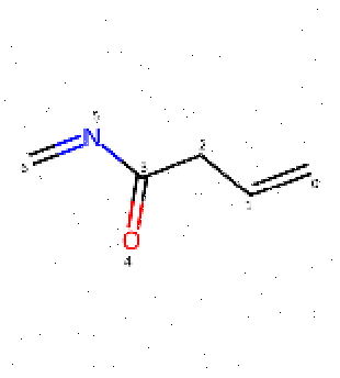 C=CCC(=O)N=C